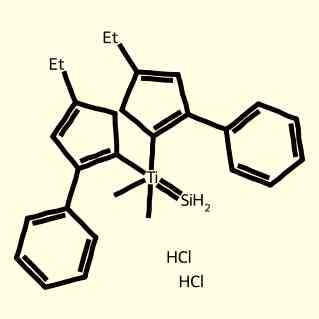 CCC1=CC(c2ccccc2)=[C]([Ti]([CH3])([CH3])(=[SiH2])[C]2=C(c3ccccc3)C=C(CC)C2)C1.Cl.Cl